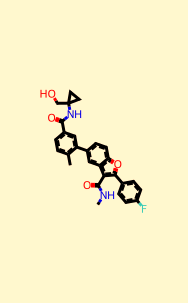 CNC(=O)c1c(-c2ccc(F)cc2)oc2ccc(-c3cc(C(=O)NC4(CO)CC4)ccc3C)cc12